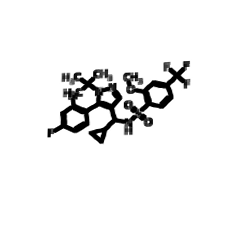 COc1cc(C(F)(F)F)ccc1S(=O)(=O)NC(c1cnn(C(C)(C)C)c1-c1ccc(F)cc1Br)C1CC1